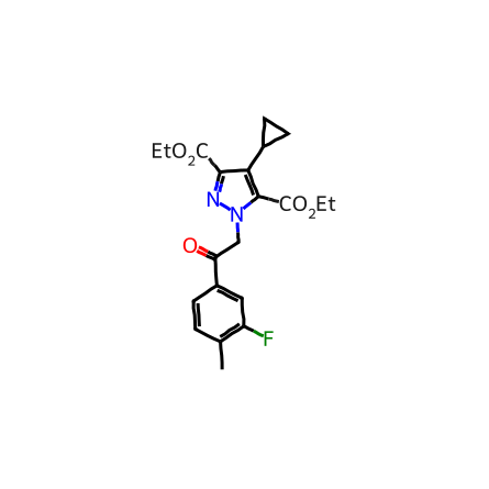 CCOC(=O)c1nn(CC(=O)c2ccc(C)c(F)c2)c(C(=O)OCC)c1C1CC1